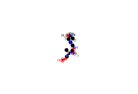 Cc1c(S(C)(=O)=O)c(-c2cc(F)cc(N3CCN(c4ccc(NS(=O)(=O)c5ccc(NC(CCN6CCC(OCOP(=O)(O)O)CC6)CSc6ccccc6)c(S(=O)(=O)C(F)(F)F)c5)cc4)CC3)c2)c(-c2ccc(Cl)cc2)n1C(C)C